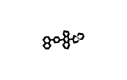 C1=CB2C=CC(c3c4ccccc4c(-c4ccc(-c5cccc6ccccc56)cc4)c4ccccc34)=CN2C=C1